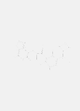 Cc1[nH]c(=O)c(CN2CCc3c(Cl)cc(C(C)C4CNC4)c(Cl)c3C2=O)c2[nH]cnc12